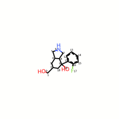 OCC1CC2CNCC2C(O)(c2ccccc2F)C1